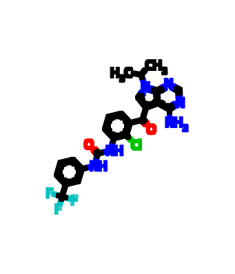 CC(C)n1cc(C(=O)c2cccc(NC(=O)Nc3cccc(C(F)(F)F)c3)c2Cl)c2c(N)ncnc21